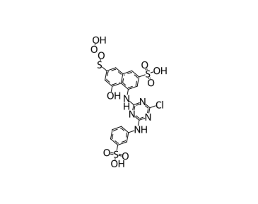 O=S(=O)(O)c1cccc(Nc2nc(Cl)nc(Nc3cc(S(=O)(=O)O)cc4cc(SOOO)cc(O)c34)n2)c1